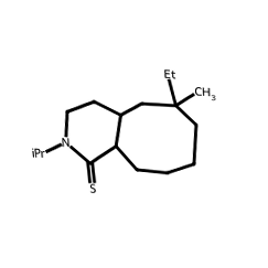 CCC1(C)CCCCC2C(=S)N(C(C)C)CCC2C1